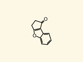 O=C1CCc2oc3ccccc3c21